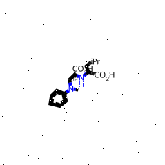 CC(C)CC(N[C@@H](CN(C)c1ccccc1)C(=O)O)C(=O)O